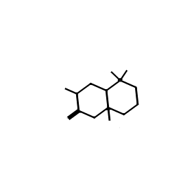 C=C1CC2(C)CCCC(C)(C)C2CC1O